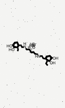 Br.Br.CCc1c(CCNCCC=CCCNCCc2ccc(O)c(O)c2CC)ccc(O)c1O.O